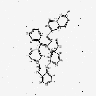 Cc1ccc2cc(-c3c4ccccc4c(-c4cccc(-c5nc6ccccc6n5-c5ccccc5)c4)c4ccccc34)ccc2c1